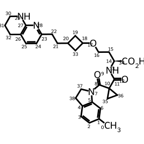 Cc1ccc2c(c1)N(C(=O)C1(C(=O)N[C@@H](CCOC3CC(CCc4ccc5c(n4)NCCC5)C3)C(=O)O)CC1)CC2